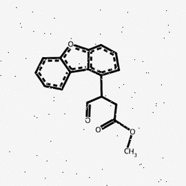 COC(=O)CC(C=O)c1cccc2oc3ccccc3c12